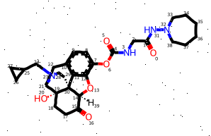 O=C(CNC(=O)Oc1ccc2c3c1O[C@H]1C(=O)CC[C@@]4(O)C(C2)N(CC2CC2)CC[C@]314)NN1CCCCCC1